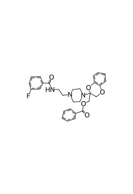 O=C(NCCN1CCN(C2(COC(=O)c3ccccc3)COc3ccccc3O2)CC1)c1cccc(F)c1